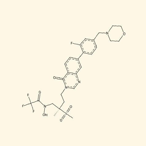 C[C@@](CCn1cnc2cc(-c3ccc(CN4CCOCC4)cc3F)ccc2c1=O)(CN(O)C(=O)C(F)(F)F)S(C)(=O)=O